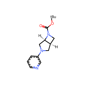 CC(C)(C)OC(=O)N1C[C@H]2CN(c3cccnc3)C[C@H]21